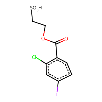 O=C(OCCS(=O)(=O)O)c1ccc(I)cc1Cl